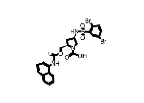 O=C(Nc1cccc2ccccc12)OC[C@H]1C[C@@H](NS(=O)(=O)c2cc(Br)ccc2Br)CN1C(=O)O